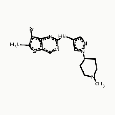 Cc1sc2cnc(Nc3cnn(C4CCN(C)CC4)c3)nc2c1Br